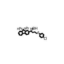 CCCC1(CCC)c2ccccc2-c2ccc(C(CCCSc3ccc(Cl)cc3)=NO)cc21